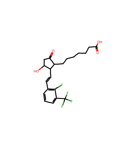 O=C(O)CCCCCCC1C(=O)CC(O)C1C=Cc1cccc(C(F)(F)F)c1F